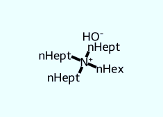 CCCCCCC[N+](CCCCCC)(CCCCCCC)CCCCCCC.[OH-]